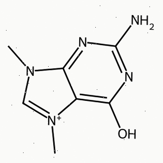 Cn1c[n+](C)c2c(O)nc(N)nc21